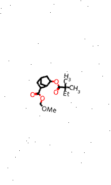 CCC(C)(C)C(=O)OC1CC2CC(C(=O)OCOC)C1C2